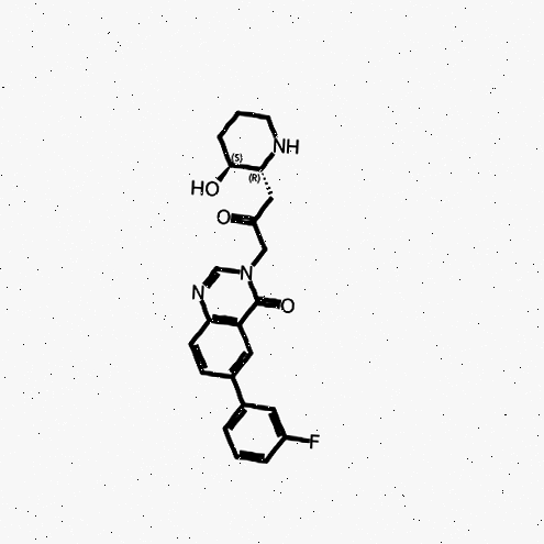 O=C(C[C@H]1NCCC[C@@H]1O)Cn1cnc2ccc(-c3cccc(F)c3)cc2c1=O